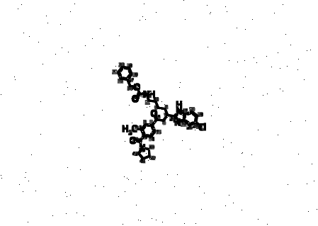 Cc1cc(C(=O)CC(CCCCNC(=O)OCc2ccccc2)c2nc3cc(Cl)ccc3[nH]2)ccc1C(=O)N1CCCC1